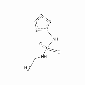 CCNS(=O)(=O)Nc1nccs1